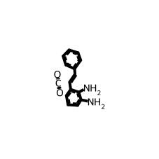 Nc1cccc(C=Cc2ccccc2)c1N.O=C=O